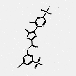 Cc1sc(C(=O)Nc2cc(Cl)cc(S(C)(=O)=O)c2)cc1-c1ncc(C(F)(F)F)cc1F